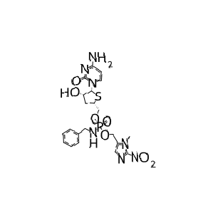 Cn1c(COP(=O)(NCc2ccccc2)OC[C@@H]2C[C@H](O)[C@H](n3ccc(N)nc3=O)S2)cnc1[N+](=O)[O-]